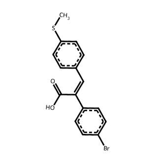 CSc1ccc(C=C(C(=O)O)c2ccc(Br)cc2)cc1